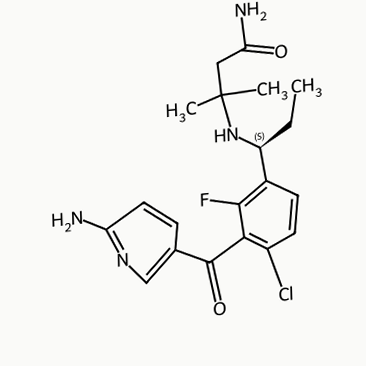 CC[C@H](NC(C)(C)CC(N)=O)c1ccc(Cl)c(C(=O)c2ccc(N)nc2)c1F